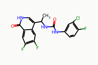 CC(NC(=O)Nc1ccc(F)c(Cl)c1)c1c[nH]c(=O)c2cc(F)c(F)cc12